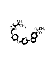 CC(C)c1noc(CN2CCC(Oc3ccc(-n4ccc5cc(S(C)(=O)=O)ccc54)nc3)CC2)n1